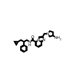 NC1CCN(Cc2cn3c(C(=O)NCC(CC4CC4)c4ccccc4)cccc3n2)C1